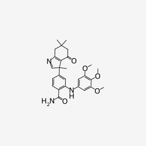 COc1cc(Nc2cc(C3(C)C=NC4=C3C(=O)CC(C)(C)C4)ccc2C(N)=O)cc(OC)c1OC